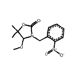 COC1N(Cc2ccccc2[N+](=O)[O-])C(=O)OC1(C)C